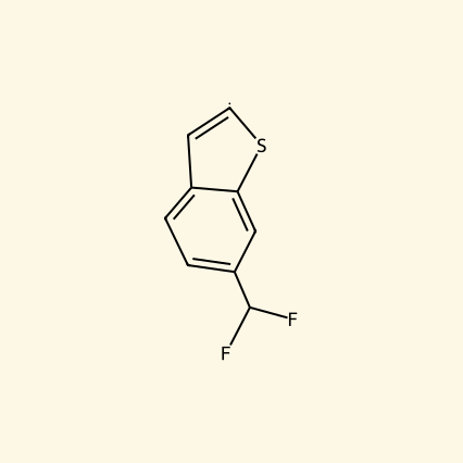 FC(F)c1ccc2c[c]sc2c1